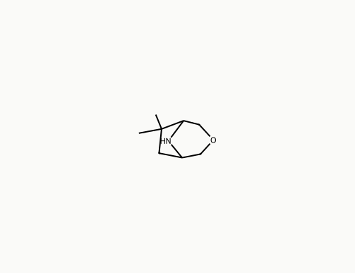 CC1(C)CC2COCC1N2